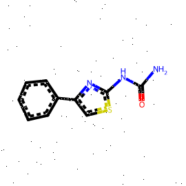 NC(=O)Nc1nc(-c2ccccc2)cs1